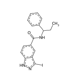 CCC(NC(=O)c1ccc2[nH]nc(I)c2c1)c1ccccc1